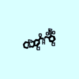 CCc1cc(C(=O)NCc2cc(Cl)ccc2S(=O)(=O)CC)cc(Cl)c1CN1CCCCC1